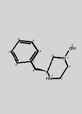 CC(C)(C)N1CCN[C@@H](Cc2ccccc2)C1